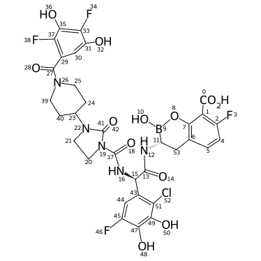 O=C(O)c1c(F)ccc2c1OB(O)[C@@H](NC(=O)[C@H](NC(=O)N1CCN(C3CCN(C(=O)c4cc(O)c(F)c(O)c4F)CC3)C1=O)c1cc(F)c(O)c(O)c1Cl)C2